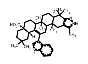 CC1(C)CC[C@]2(C(=O)O)CC[C@]3(C)C(=C(c4c[nH]c5ccccc45)CC4[C@@]5(C)Cc6c(n[nH]c6N)C(C)(C)[C@@H]5CC[C@]43C)[C@@H]2C1